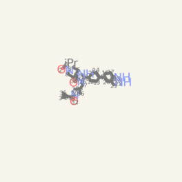 CC(C)C(=O)N1CCC2(CC1)NC(C1C=CC(c3ccc4c(c3)CNN4)=CC1)N(CC1CN(C(=O)C3CC3)C1)C2=O